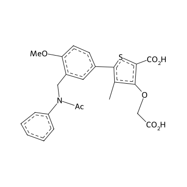 COc1ccc(-c2sc(C(=O)O)c(OCC(=O)O)c2C)cc1CN(C(C)=O)c1ccccc1